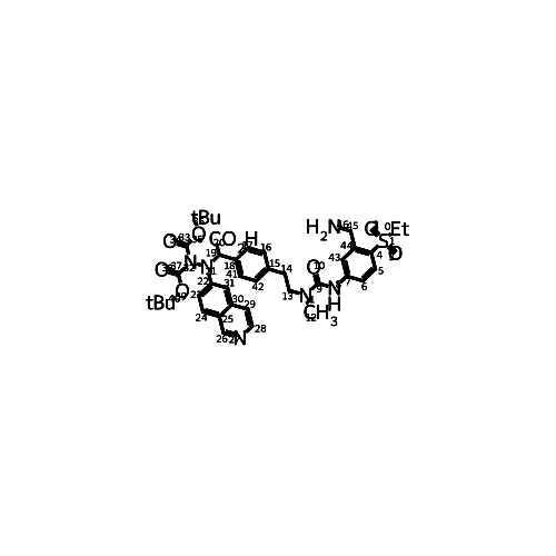 CCS(=O)(=O)c1ccc(NC(=O)N(C)CCc2ccc(C(C(=O)O)N(c3ccc4cnccc4c3)N(C(=O)OC(C)(C)C)C(=O)OC(C)(C)C)cc2)cc1CN